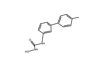 Cc1ccc(-c2cccc(NC(=O)NO)c2)cc1